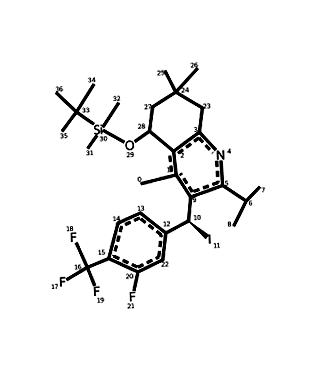 Cc1c2c(nc(C(C)C)c1[C@@H](I)c1ccc(C(F)(F)F)c(F)c1)CC(C)(C)CC2O[Si](C)(C)C(C)(C)C